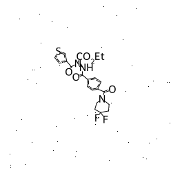 CCOC(=O)N(NC(=O)c1ccc(C(=O)N2CCC(F)(F)CC2)cc1)C(=O)c1ccsc1